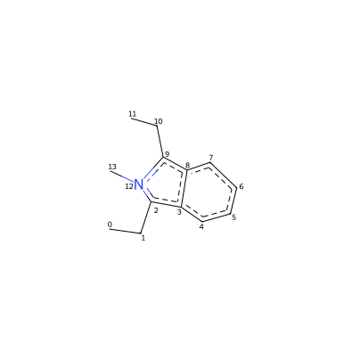 CCc1c2ccccc2c(CC)n1C